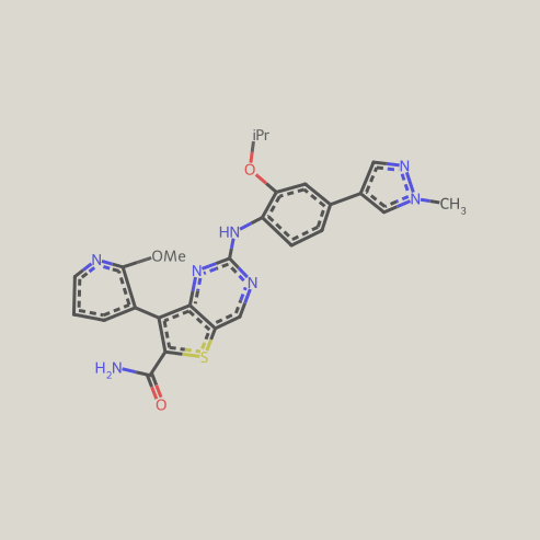 COc1ncccc1-c1c(C(N)=O)sc2cnc(Nc3ccc(-c4cnn(C)c4)cc3OC(C)C)nc12